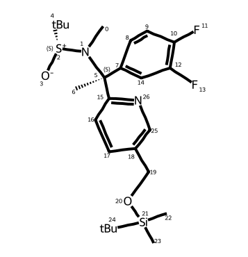 CN([S@+]([O-])C(C)(C)C)[C@@](C)(c1ccc(F)c(F)c1)c1ccc(CO[Si](C)(C)C(C)(C)C)cn1